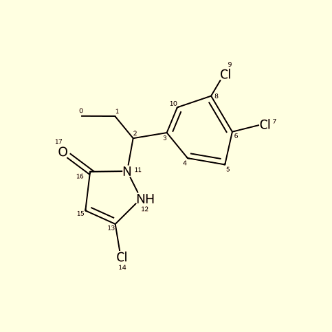 CCC(c1ccc(Cl)c(Cl)c1)n1[nH]c(Cl)cc1=O